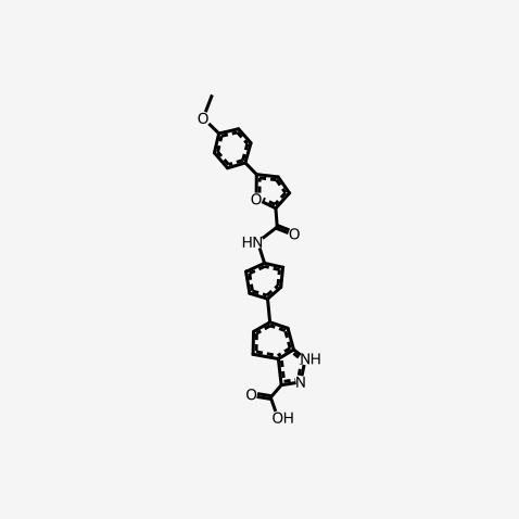 COc1ccc(-c2ccc(C(=O)Nc3ccc(-c4ccc5c(C(=O)O)n[nH]c5c4)cc3)o2)cc1